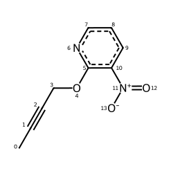 CC#CCOc1ncccc1[N+](=O)[O-]